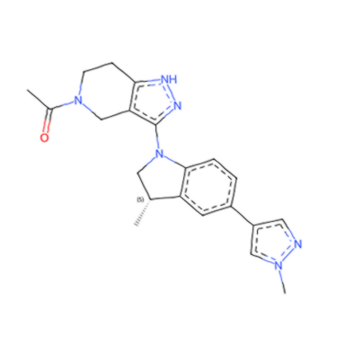 CC(=O)N1CCc2[nH]nc(N3C[C@@H](C)c4cc(-c5cnn(C)c5)ccc43)c2C1